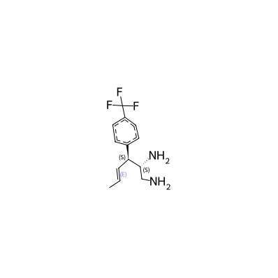 C/C=C/[C@@H](c1ccc(C(F)(F)F)cc1)[C@H](N)CN